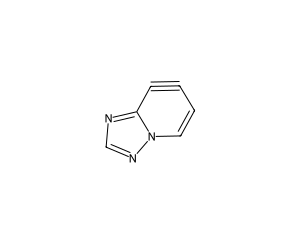 c1ccn2ncnc2c#1